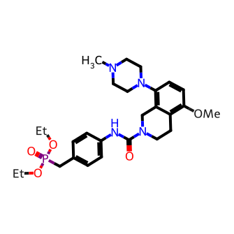 CCOP(=O)(Cc1ccc(NC(=O)N2CCc3c(OC)ccc(N4CCN(C)CC4)c3C2)cc1)OCC